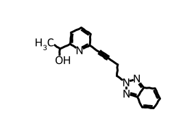 CC(O)c1cccc(C#CCCn2nc3ccccc3n2)n1